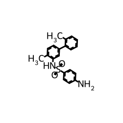 Cc1ccc(-c2ccccc2C)cc1NS(=O)(=O)c1ccc(N)cc1